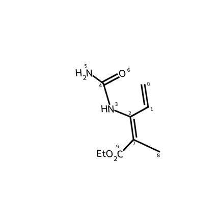 C=CC(NC(N)=O)=C(C)C(=O)OCC